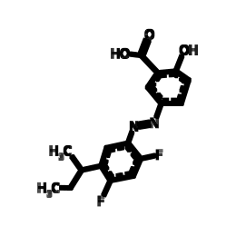 CCC(C)c1cc(/N=N/c2ccc(O)c(C(=O)O)c2)c(F)cc1F